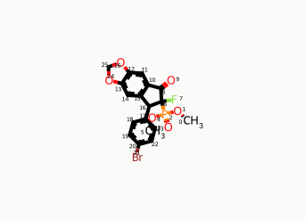 COP(=O)(OC)C1(F)C(=O)c2cc3c(cc2C1c1ccc(Br)cc1)OCO3